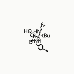 C#Cc1ccc(CNC(=O)[C@@H]2C[C@@H](O)CN2C(=O)[C@@H](NCCN(C)C)C(C)(C)C)cc1